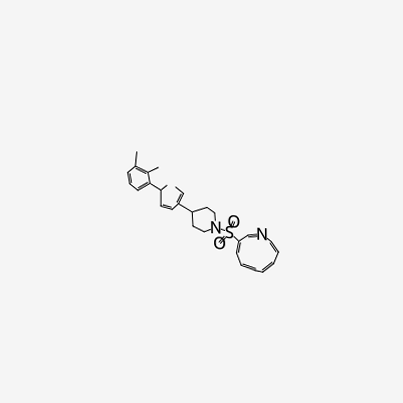 C/C=C(\C=C/C(C)c1cccc(C)c1C)C1CCN(S(=O)(=O)c2cccccccnc2)CC1